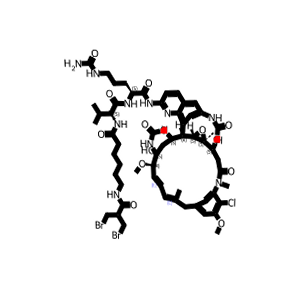 COc1cc2cc(c1Cl)N(C)C(=O)C[C@@H]1OC(=O)Nc3cc(c4nc(NC(=O)[C@H](CCCNC(N)=O)NC(=O)[C@@H](NC(=O)CCCCCNC(=O)C(CBr)CBr)C(C)C)ccc4c3)[C@H]([C@@H]3C[C@@](O)(NC(=O)O3)[C@H](OC)/C=C/C=C(\C)C2)[C@@H]2O[C@@]12C